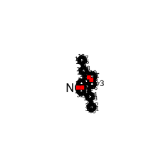 N#Cc1ccc(-n2c3ccccc3c3cc(-c4ccccc4)ccc32)c(-c2c(-n3c4ccccc4c4cc(-c5ccccc5)ccc43)cccc2C(F)(F)F)c1